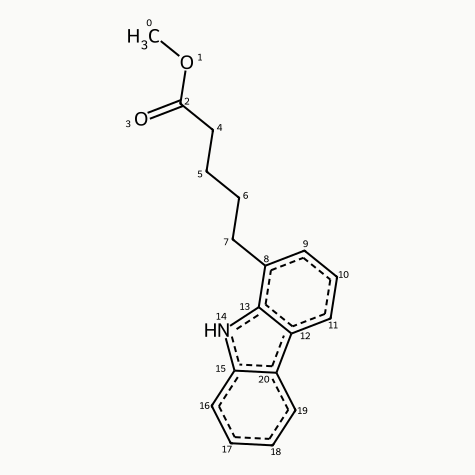 COC(=O)CCCCc1cccc2c1[nH]c1ccccc12